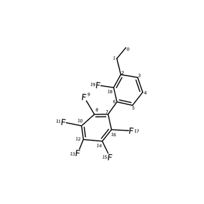 CCc1cccc(-c2c(F)c(F)c(F)c(F)c2F)c1F